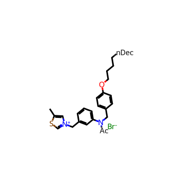 CCCCCCCCCCCCCCOc1ccc(CN(C(C)=O)c2cccc(C[n+]3csc(C)c3)c2)cc1.[Br-]